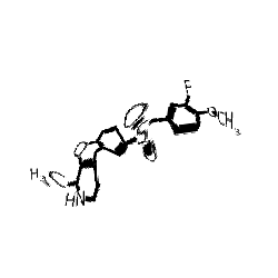 COc1ccc(S(=O)(=O)c2ccc3oc4c(c3c2)CCNC4C)cc1F